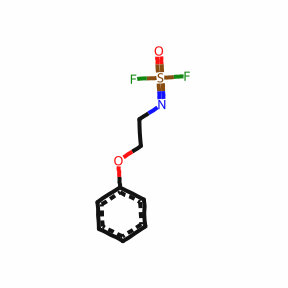 O=S(F)(F)=NCCOc1ccccc1